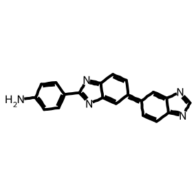 Nc1ccc(C2=Nc3cc(=c4ccc5c(c4)N=CN=5)ccc3=N2)cc1